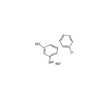 Oc1cccc(O)c1.[Na+].[O-]c1ccccc1